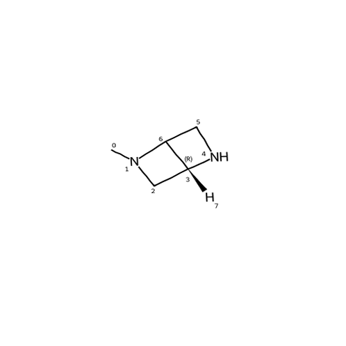 CN1C[C@H]2NCC21